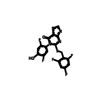 O=c1c2scnc2nc(SCc2c(F)cc(F)cc2F)n1-c1cc(F)c(O)cc1F